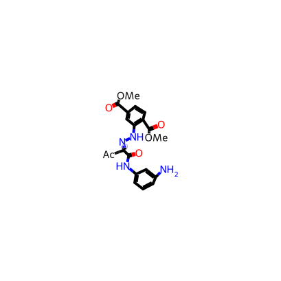 COC(=O)c1ccc(C(=O)OC)c(N/N=C(/C(C)=O)C(=O)Nc2cccc(N)c2)c1